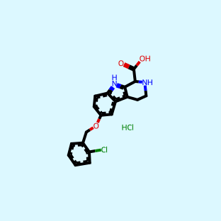 Cl.O=C(O)C1NCCc2c1[nH]c1ccc(OCc3ccccc3Cl)cc21